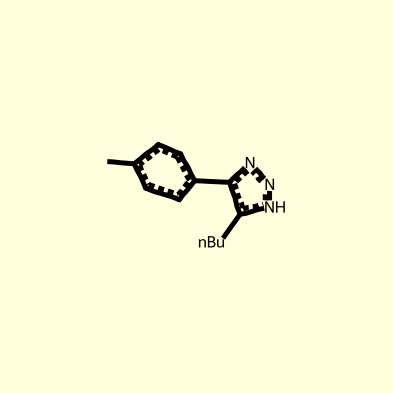 CCCCc1[nH]nnc1-c1ccc(C)cc1